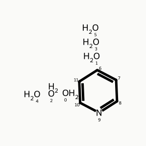 O.O.O.O.O.O.c1ccncc1